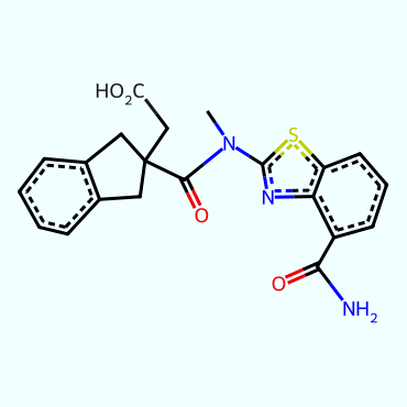 CN(C(=O)C1(CC(=O)O)Cc2ccccc2C1)c1nc2c(C(N)=O)cccc2s1